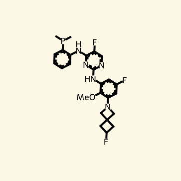 COc1c(Nc2ncc(F)c(Nc3ccccc3P(C)C)n2)cc(F)cc1N1CC2(CC(F)C2)C1